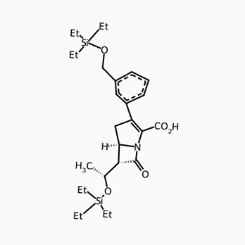 CC[Si](CC)(CC)OCc1cccc(C2=C(C(=O)O)N3C(=O)[C@H]([C@@H](C)O[Si](CC)(CC)CC)[C@H]3C2)c1